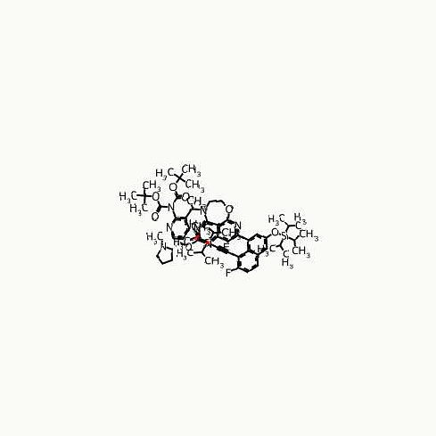 CC(c1cccnc1N(C(=O)OC(C)(C)C)C(=O)OC(C)(C)C)N1CCOc2nc(-c3cc(O[Si](C(C)C)(C(C)C)C(C)C)cc4ccc(F)c(C#C[Si](C(C)C)(C(C)C)C(C)C)c34)c(F)c3nc(OC[C@@H]4CCCN4C)nc1c23